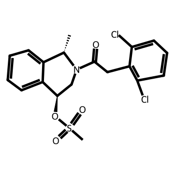 C[C@H]1c2ccccc2[C@H](OS(C)(=O)=O)CN1C(=O)Cc1c(Cl)cccc1Cl